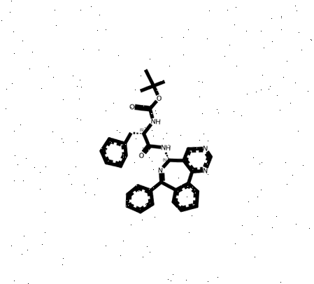 CC(C)(C)OC(=O)N[C@@H](Cc1ccccc1)C(=O)N[C@H]1N=C(c2ccccc2)c2ccccc2-c2ncncc21